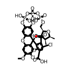 COc1cc2c(cc1Cl)C1(OC(=O)c3c(Cl)cc(C(=O)O)c(Cl)c31)c1cc(Cl)c(OP(=O)(O)OP(=O)(O)OP(=O)(O)OC[C@H]3O[C@@H](C)[C@@H](C)C3O)cc1O2